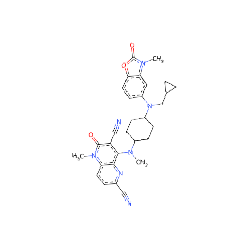 CN(c1c(C#N)c(=O)n(C)c2ccc(C#N)nc12)C1CCC(N(CC2CC2)c2ccc3oc(=O)n(C)c3c2)CC1